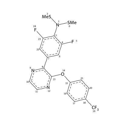 CSN(SC)c1c(F)cc(-c2nccnc2Oc2ccc(C(F)(F)F)cc2)cc1F